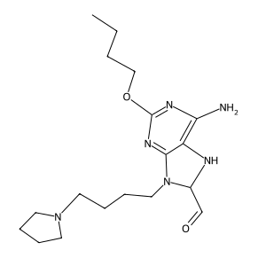 CCCCOc1nc(N)c2c(n1)N(CCCCN1CCCC1)C(C=O)N2